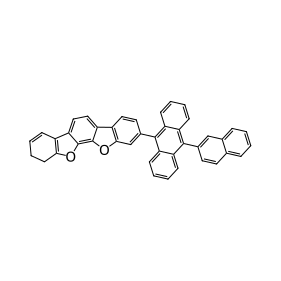 C1=Cc2c(oc3c2ccc2c4ccc(-c5c6ccccc6c(-c6ccc7ccccc7c6)c6ccccc56)cc4oc23)CC1